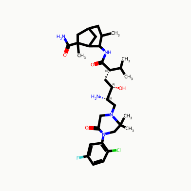 CC1CC2CC(C1NC(=O)[C@@H](C[C@H](O)[C@@H](N)CN1CC(=O)N(c3cc(F)ccc3Cl)CC1(C)C)C(C)C)C(C)(C(N)=O)C2